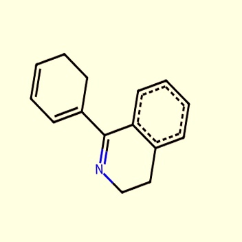 C1=CCCC(C2=NCCc3ccccc32)=C1